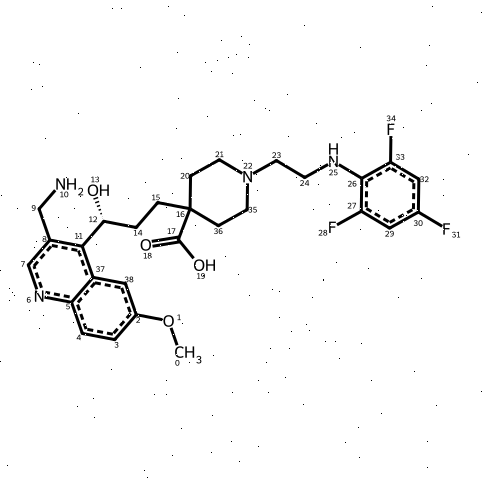 COc1ccc2ncc(CN)c([C@H](O)CCC3(C(=O)O)CCN(CCNc4c(F)cc(F)cc4F)CC3)c2c1